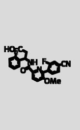 COc1ccc(C(=O)NC(CC(=O)O)c2ccccc2F)nc1-c1ccc(C#N)cc1F